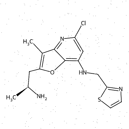 Cc1c(C[C@H](C)N)oc2c(NCc3nccs3)cc(Cl)nc12